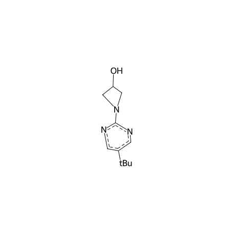 CC(C)(C)c1cnc(N2CC(O)C2)nc1